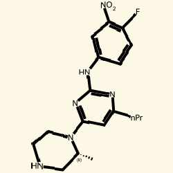 CCCc1cc(N2CCNC[C@H]2C)nc(Nc2ccc(F)c([N+](=O)[O-])c2)n1